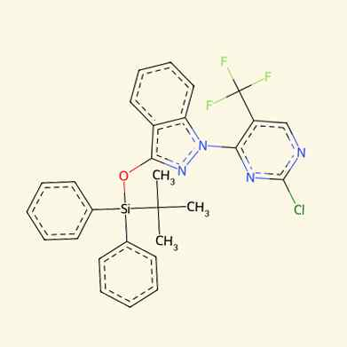 CC(C)(C)[Si](Oc1nn(-c2nc(Cl)ncc2C(F)(F)F)c2ccccc12)(c1ccccc1)c1ccccc1